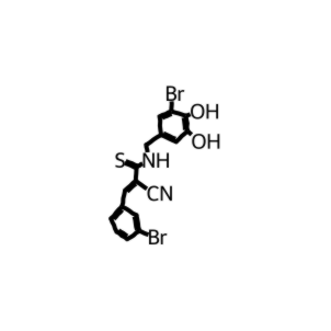 N#C/C(=C\c1cccc(Br)c1)C(=S)NCc1cc(O)c(O)c(Br)c1